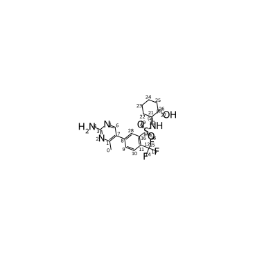 Cc1nc(N)ncc1-c1ccc(C(F)(F)F)c(S(=O)(=O)N[C@H]2CCCC[C@@H]2O)c1